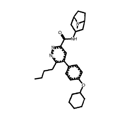 CCCCc1nnc(C(=O)NC2CC3CCC(C2)N3C)cc1-c1ccc(OC2CCCCC2)cc1